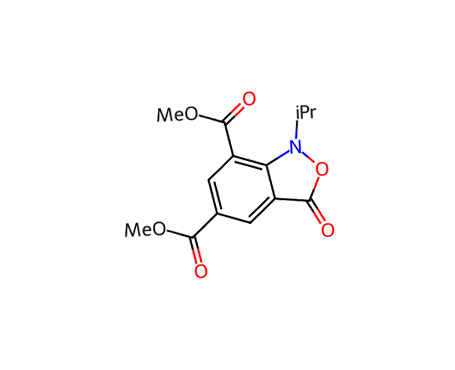 COC(=O)c1cc(C(=O)OC)c2c(c1)c(=O)on2C(C)C